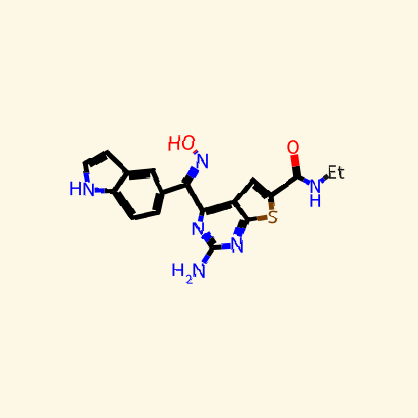 CCNC(=O)c1cc2c(C(=NO)c3ccc4[nH]ccc4c3)nc(N)nc2s1